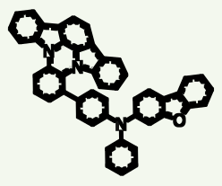 c1ccc(N(c2ccc(-c3cccc4c3n3c5ccccc5c5ccc6c7ccccc7n4c6c53)cc2)c2ccc3c(c2)oc2ccccc23)cc1